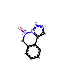 [O-][NH+]1Cc2ccccc2-c2cnnn21